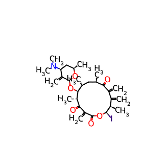 C=C1C(=C)[C@@H](C)[C@@H](I)OC(=O)C(=C)C(=O)[C@H](C)[C@@H](O[C@@H]2O[C@H](C)C[C@H](N(C)C)C2=C)[C@@H](C)C[C@@H](C)C1=O